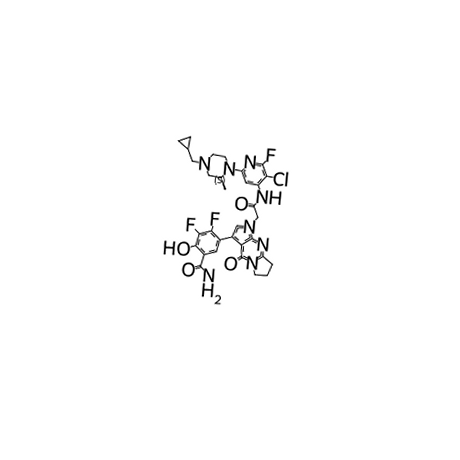 C[C@H]1CN(CC2CC2)CCN1c1cc(NC(=O)Cn2cc(-c3cc(C(N)=O)c(O)c(F)c3F)c3c(=O)n4c(nc32)CCC4)c(Cl)c(F)n1